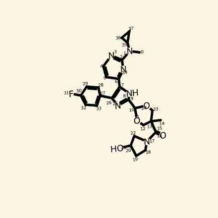 CN(c1nccc(-c2[nH]c(C3OCC(C)(C(=O)N4CCC(O)C4)CO3)nc2-c2ccc(F)cc2)n1)C1CC1